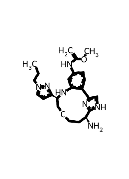 C=C(Nc1ccc2c(c1)N[C@H](c1ccn(CCC)n1)CCCC[C@H](N)c1nc-2c[nH]1)OC